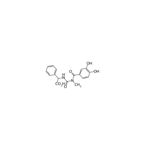 CN(C(=O)NC(C(=O)O)c1ccccc1)C(=O)c1ccc(O)c(O)c1